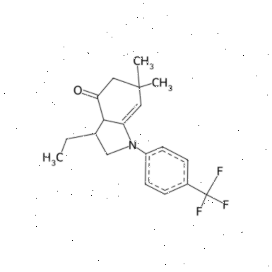 CCC1CN(c2ccc(C(F)(F)F)cc2)C2=CC(C)(C)CC(=O)C21